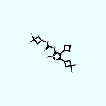 Cn1nc(C2CC(F)(F)C2)c(C2CCC2)c1NC(=O)OC1CC(F)(F)C1